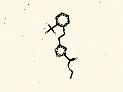 CCOC(=O)c1cc(CCc2ccccc2C(F)(F)F)n[nH]1